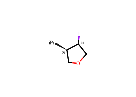 CC(C)[C@@H]1COC[C@@H]1I